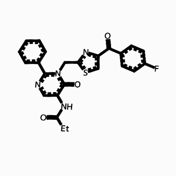 CCC(=O)Nc1cnc(-c2ccccc2)n(Cc2nc(C(=O)c3ccc(F)cc3)cs2)c1=O